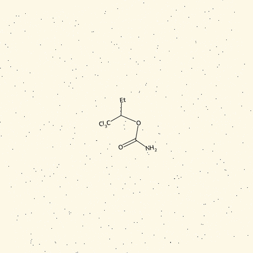 CCC(OC(N)=O)C(Cl)(Cl)Cl